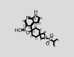 CC(C)S(=O)(=O)N1CC2(CCC3(CC2)OB(O)c2cnc4[nH]ccc4c23)C1